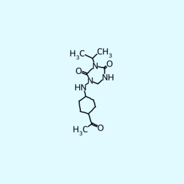 CC(=O)C1CCC(NN2CNC(=O)N(C(C)C)C2=O)CC1